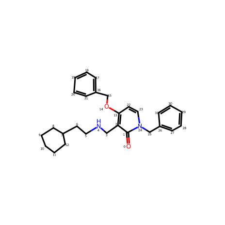 O=c1c(CNCCC2CCCCC2)c(OCc2ccccc2)ccn1Cc1ccccc1